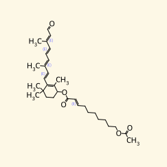 CC(=O)OCCCCCCC/C=C/C(=O)OC1CCC(C)(C)C(/C=C/C(C)=C/C=C/C(C)=C/C=O)=C1C